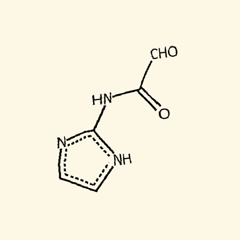 O=CC(=O)Nc1ncc[nH]1